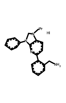 CC(C)N1CN(c2ccccc2)c2nc(-c3ccccc3CN)ccc21.I